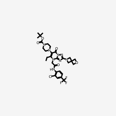 CCc1c(N2CCN(C(=O)OC(C)(C)C)CC2)c(=O)n2nc(N3CC4(COC4)C3)nc2n1CC(=O)Nc1ccc(C(F)(F)F)cc1Cl